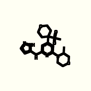 CC1COCCN1c1cc(C2(S(C)(=O)=O)CCOCC2)cc(Nc2ccn[nH]2)n1